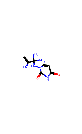 C=C(N)C(N)(N)Nn1ccc(=O)[nH]c1=O